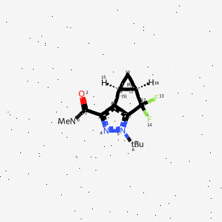 CNC(=O)c1nn(C(C)(C)C)c2c1[C@H]1C[C@H]1C2(F)F